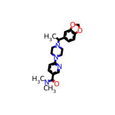 CC(c1ccc2c(c1)OCO2)N1CCN(c2ccc(C(=O)N(C)C)cn2)CC1